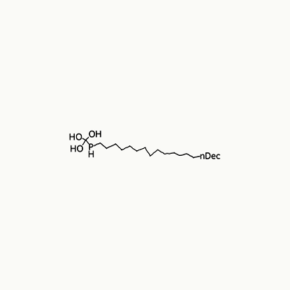 CCCCCCCCCCCCCCCCCCCCCCCCPC(O)(O)O